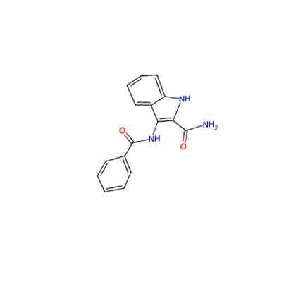 NC(=O)c1[nH]c2ccccc2c1NC(=O)c1ccccc1